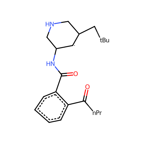 CCCC(=O)c1ccccc1C(=O)NC1[CH]C(CC(C)(C)C)CNC1